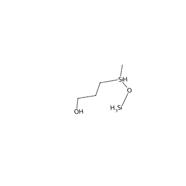 C[SiH](CCCO)O[SiH3]